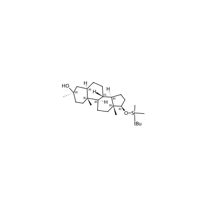 CC(C)(C)[Si](C)(C)O[C@@H]1CC[C@@H]2[C@H]3CC[C@@H]4C[C@](C)(O)CC[C@@]4(C)[C@@H]3CC[C@]21C